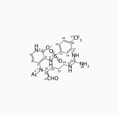 CC(=O)N(c1cc[nH]c(=O)c1NS(=O)(=O)c1ccc(C(F)(F)F)cc1)[C@H](C=O)CCCNC(=N)N